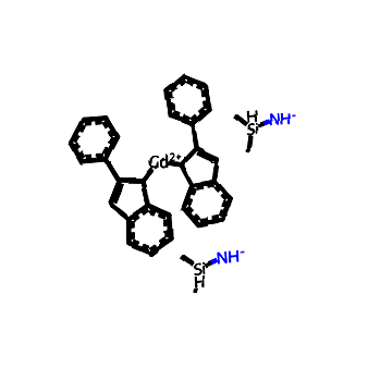 C1=C(c2ccccc2)[CH]([Gd+2][CH]2C(c3ccccc3)=Cc3ccccc32)c2ccccc21.C[SiH](C)[NH-].C[SiH](C)[NH-]